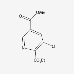 CCOC(=O)c1ncc(C(=O)OC)cc1Cl